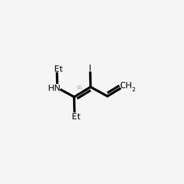 C=C/C(I)=C(\CC)NCC